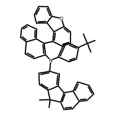 CC(C)(C)c1ccc(N(c2ccc3c(c2)-c2c(ccc4ccccc24)C3(C)C)c2ccc3ccccc3c2-c2cccc3oc4ccccc4c23)cc1